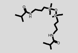 CC(C)C(=O)NCCC[Si](C)(C)O[Si](C)(C)CCCNC(=O)C(C)C